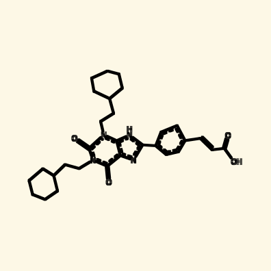 O=C(O)/C=C/c1ccc(-c2nc3c(=O)n(CCC4CCCCC4)c(=O)n(CCC4CCCCC4)c3[nH]2)cc1